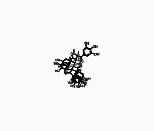 C[C@@](O)(C(=O)c1cc(O)c(O)c(O)c1)[C@](O)(C(=O)c1cc(O)c(O)c(O)c1)[C@](O)(C(=O)c1cc(O)c(O)c(O)c1)[C@@](O)(C(=O)c1cc(O)c(O)c(O)c1)C(O)(C(=O)c1cc(O)c(O)c(O)c1)C(=O)c1cc(O)c(O)c(O)c1